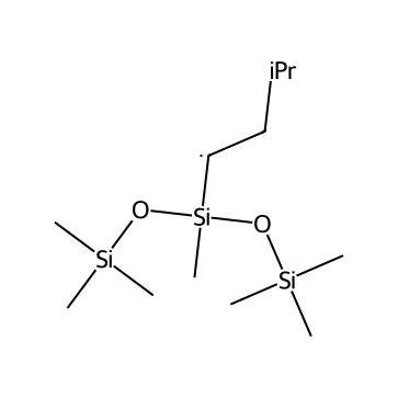 CC(C)C[CH][Si](C)(O[Si](C)(C)C)O[Si](C)(C)C